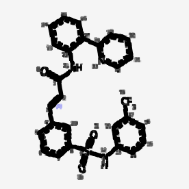 O=C(/C=C/c1cccc(S(=O)(=O)Nc2cccc(C(F)(F)F)c2)c1)Nc1ccccc1-c1ccccn1